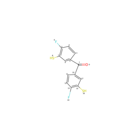 O=C(c1ccc(F)c(S)c1)c1ccc(F)c(S)c1